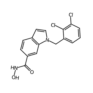 O=C(NO)c1ccc2ccn(Cc3cccc(Cl)c3Cl)c2c1